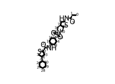 C=CC(=O)Nc1cc2c(s1)CN(S(=O)(=O)c1ccc(NC(=O)c3cc(-c4ccccc4)cs3)cc1)C2